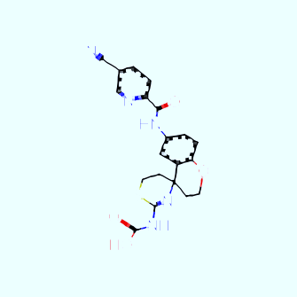 N#Cc1ccc(C(=O)Nc2ccc3c(c2)C2(CCO3)CCSC(NC(=O)O)=N2)nc1